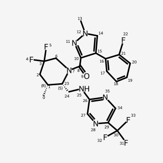 C[C@@H]1CC(F)(F)CN(C(=O)c2nn(C)cc2-c2ccccc2F)[C@@H]1CNc1cnc(C(F)(F)F)cn1